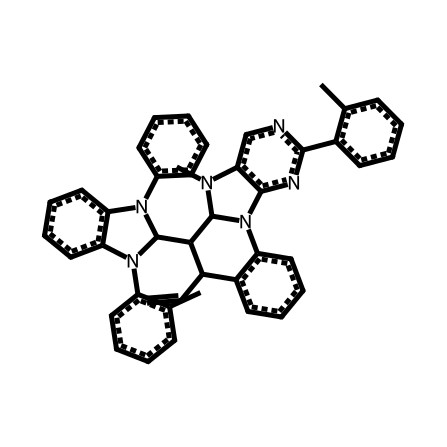 C=CC1c2ccccc2N2c3nc(-c4ccccc4C)ncc3N(C)C2C1C1N(c2ccccc2)c2ccccc2N1c1ccccc1C